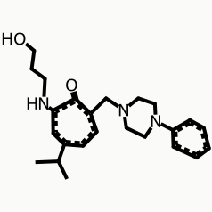 CC(C)c1ccc(CN2CCN(c3ccccc3)CC2)c(=O)c(NCCCO)c1